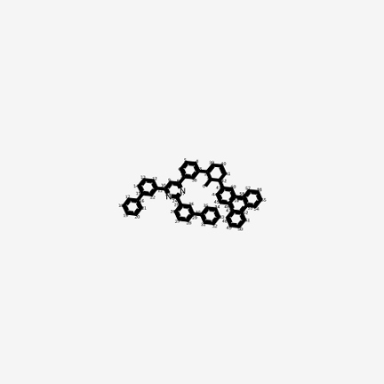 CC1C(c2cccc(-c3cc(-c4cccc(-c5ccccc5)c4)nc(-c4cccc(-c5ccccc5)c4)n3)c2)=CC=CC1c1ccc2c3ccccc3c3ccccc3c2c1